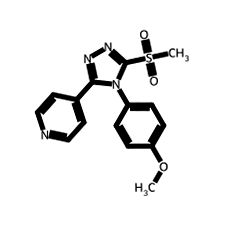 COc1ccc(-n2c(-c3ccncc3)nnc2S(C)(=O)=O)cc1